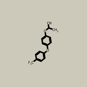 CC(C#N)Oc1ccc(Oc2ccc(C(F)(F)F)cc2)cc1